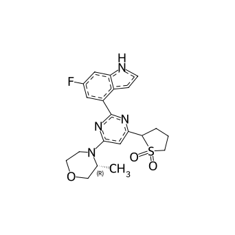 C[C@@H]1COCCN1c1cc(C2CCCS2(=O)=O)nc(-c2cc(F)cc3[nH]ccc23)n1